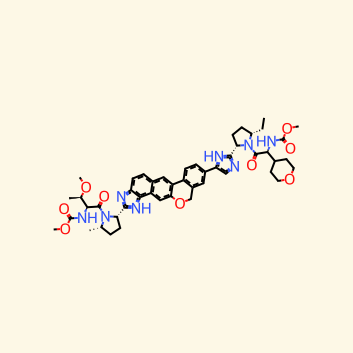 CC[C@H]1CC[C@@H](c2ncc(-c3ccc4c(c3)COc3cc5c(ccc6nc([C@@H]7CC[C@H](C)N7C(=O)[C@@H](NC(=O)OC)[C@@H](C)OC)[nH]c65)cc3-4)[nH]2)N1C(=O)[C@@H](NC(=O)OC)C1CCOCC1